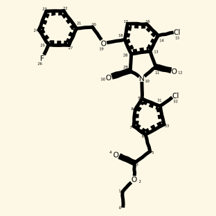 CCOC(=O)Cc1ccc(N2C(=O)c3c(Cl)ccc(OCc4cccc(F)c4)c3C2=O)c(Cl)c1